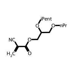 C=C(C#N)C(=O)OCC(COCCC)OC(C)CCC